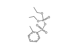 CCOP(=O)(OCC)OS(=O)(=O)c1ccccc1C